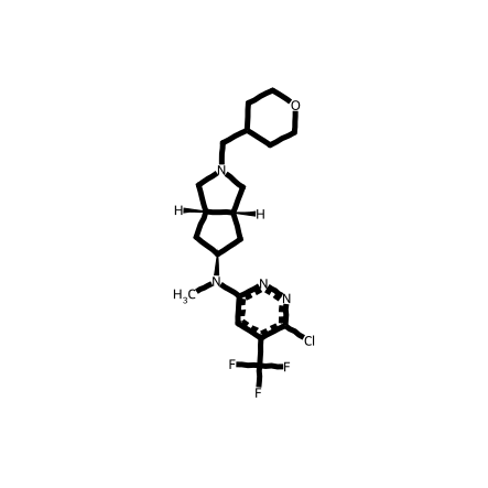 CN(c1cc(C(F)(F)F)c(Cl)nn1)[C@H]1C[C@@H]2CN(CC3CCOCC3)C[C@@H]2C1